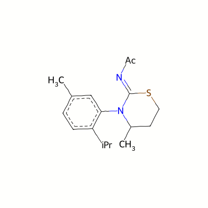 CC(=O)/N=C1\SCCC(C)N1c1cc(C)ccc1C(C)C